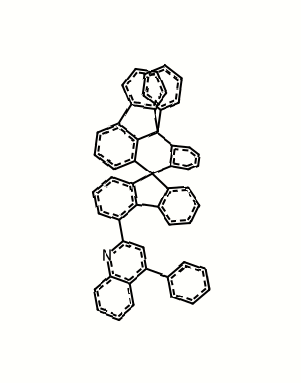 c1ccc(-c2cc(-c3cccc4c3-c3ccccc3C43c4ccccc4C4(c5ccccc5)c5ccccc5-c5cccc3c54)nc3ccccc23)cc1